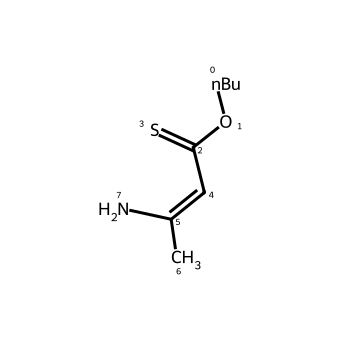 CCCCOC(=S)C=C(C)N